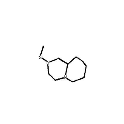 CSN1CCN2CCCCC2C1